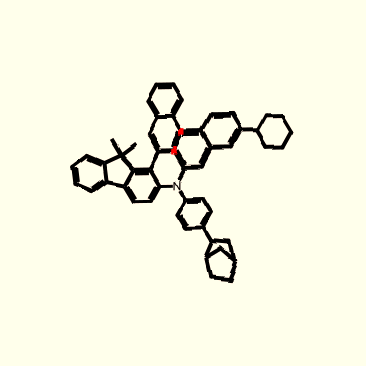 CC1(C)c2ccccc2-c2ccc(N(c3ccc(C4CC5CCC4C5)cc3)c3ccc4ccc(C5CCCCC5)cc4c3)c(-c3ccc4ccccc4c3)c21